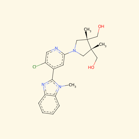 Cn1c(-c2cc(N3C[C@](C)(CO)[C@](C)(CO)C3)ncc2Cl)nc2ccccc21